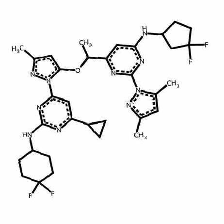 Cc1cc(C)n(-c2nc(NC3CCC(F)(F)C3)cc(C(C)Oc3cc(C)nn3-c3cc(C4CC4)nc(NC4CCC(F)(F)CC4)n3)n2)n1